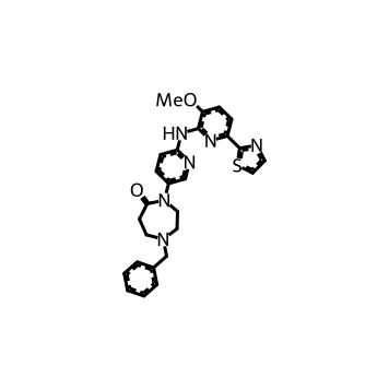 COc1ccc(-c2nccs2)nc1Nc1ccc(N2CCN(Cc3ccccc3)CCC2=O)cn1